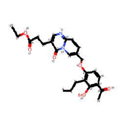 CCCc1c(OCc2ccc3ncc(CCC(=O)OCC)c(=O)n3c2)ccc(C(C)=O)c1O